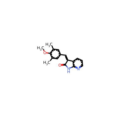 COc1c(C)cc(C=C2C(=O)Nc3ncccc32)cc1C